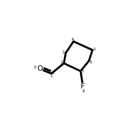 O=[C]C1CCCCC1F